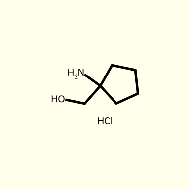 Cl.NC1(CO)CCCC1